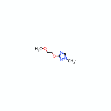 [CH2]n1cnc(OCCOC)n1